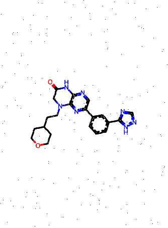 O=C1CN(CCC2CCOCC2)c2nc(-c3cccc(-c4ncn[nH]4)c3)cnc2N1